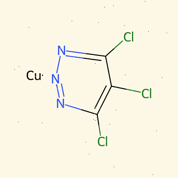 Clc1nnnc(Cl)c1Cl.[Cu]